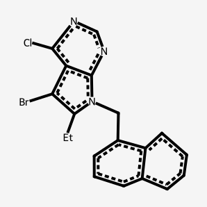 CCc1c(Br)c2c(Cl)ncnc2n1Cc1cccc2ccccc12